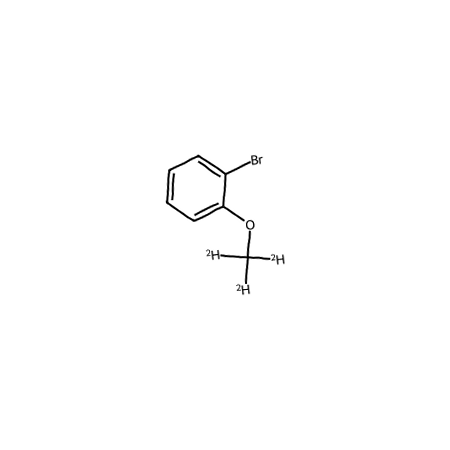 [2H]C([2H])([2H])Oc1ccccc1Br